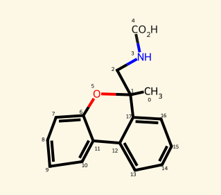 CC1(CNC(=O)O)Oc2ccccc2-c2ccccc21